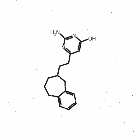 Nc1nc(O)cc(CCC2CCCc3ccccc3C2)n1